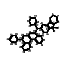 CC1(C)C2=C(CCC=C2)C2=C1CCC(N(C1=CC=CCC1)c1cc3cc(-c4ccccc4)c4ccccc4c3c3ccccc13)=C2